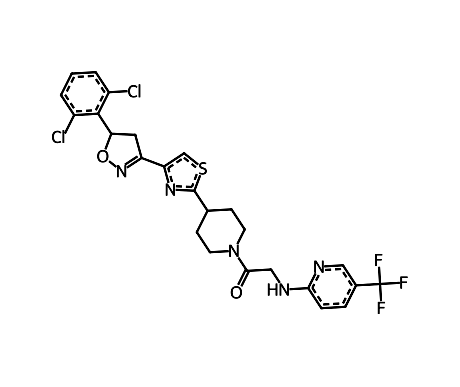 O=C(CNc1ccc(C(F)(F)F)cn1)N1CCC(c2nc(C3=NOC(c4c(Cl)cccc4Cl)C3)cs2)CC1